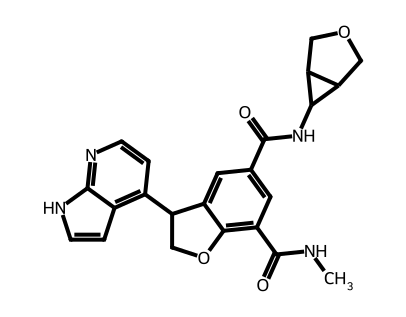 CNC(=O)c1cc(C(=O)NC2C3COCC32)cc2c1OCC2c1ccnc2[nH]ccc12